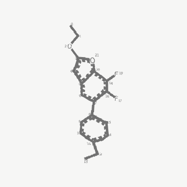 CCOc1cc2cc(-c3ccc(CC)cc3)c(F)c(F)c2o1